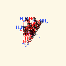 NCC(O)COCC(O)COCC(COCC(COCC(COCC(COCC(O)CN)OCC(O)COCC(N)CO)OCC(O)CO)OCC(COCC(COCC(O)COCC(O)CN)OCC(O)COCC(O)CN)OCC(O)COCC(CO)OCC(N)CO)OCC(O)COCC(O)CN